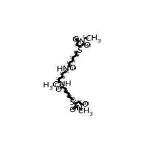 CCN1C(=O)CC(SCCCCCC(=O)NCCCCC(C)NC(=O)CCCCCSC2CC(=O)N(C)C2=O)C1=O